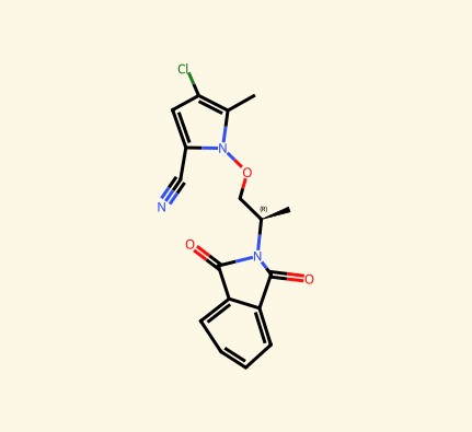 Cc1c(Cl)cc(C#N)n1OC[C@@H](C)N1C(=O)c2ccccc2C1=O